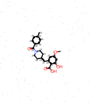 COc1cc(O)c(C(=O)O)c(C=C2CCN(C(=O)c3ccc(C)cc3)CC2)c1